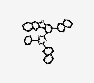 c1ccc(-c2nc(-c3ccc4ccccc4c3)nc(-c3cc(-c4ccc5ccccc5c4)cc4oc5cc6ccccc6cc5c34)n2)cc1